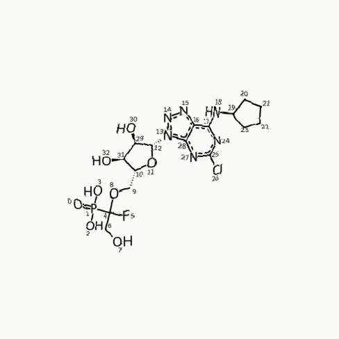 O=P(O)(O)C(F)(CO)OC[C@H]1O[C@@H](n2nnc3c(NC4CCCC4)nc(Cl)nc32)[C@H](O)[C@@H]1O